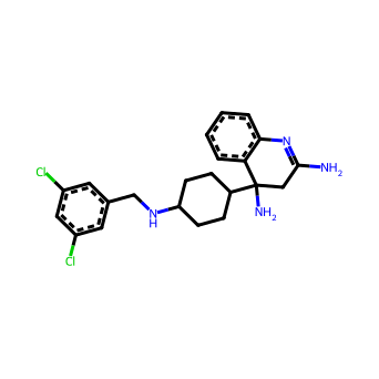 NC1=Nc2ccccc2C(N)(C2CCC(NCc3cc(Cl)cc(Cl)c3)CC2)C1